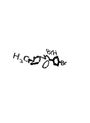 Br.CN1C=CN(CC(=O)c2ccc(Br)cc2)C1